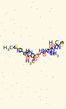 COc1cc2c(cc1OCCCC(=O)Nc1cc(C(=O)Nc3cnc(-c4cccs4)c(C)c3)n(C)c1)N=C[C@@H]1CC(c3ccc(-c4cc(C)cs4)nc3)=CCN1C2=O